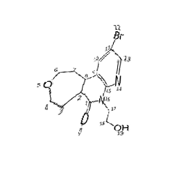 O=C1C2CCOCCC2c2cc(Br)cnc2N1CCO